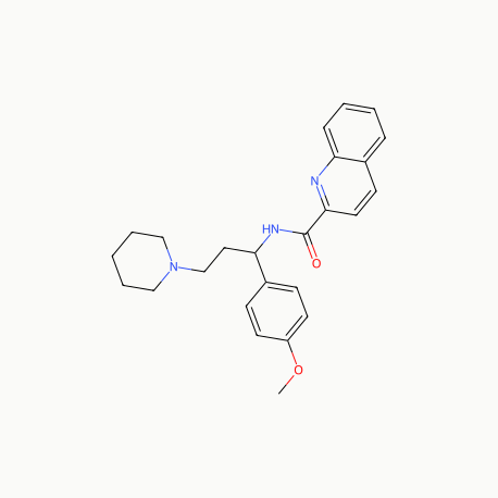 COc1ccc(C(CCN2CCCCC2)NC(=O)c2ccc3ccccc3n2)cc1